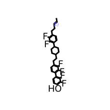 C/C=C/CCc1ccc(C2CCC(CCc3ccc(-c4ccc(O)c(F)c4F)c(F)c3F)CC2)c(F)c1F